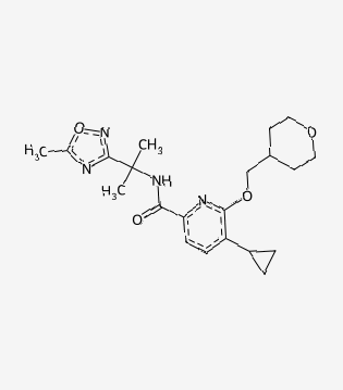 Cc1nc(C(C)(C)NC(=O)c2ccc(C3CC3)c(OCC3CCOCC3)n2)no1